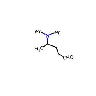 CC(C)N(C(C)C)C(C)CC[C]=O